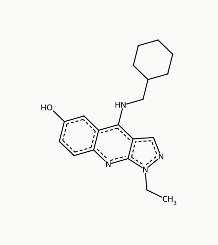 CCn1ncc2c(NCC3CCCCC3)c3cc(O)ccc3nc21